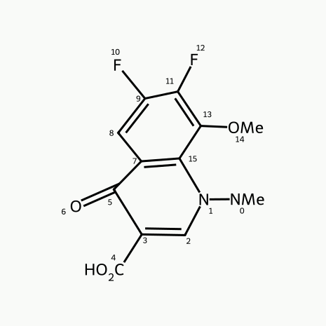 CNn1cc(C(=O)O)c(=O)c2cc(F)c(F)c(OC)c21